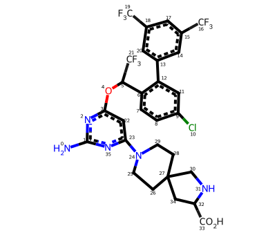 Nc1nc(OC(c2ccc(Cl)cc2-c2cc(C(F)(F)F)cc(C(F)(F)F)c2)C(F)(F)F)cc(N2CCC3(CC2)CNC(C(=O)O)C3)n1